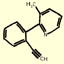 C#Cc1ccccc1-c1ncccc1C